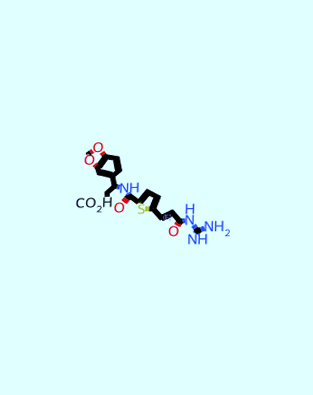 N=C(N)NC(=O)/C=C/c1ccc(C(=O)NC(CC(=O)O)c2ccc3c(c2)OCO3)s1